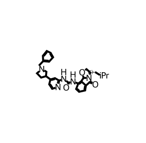 CC(C)C[C@H]1COC2c3c(NC(=O)Nc4cc(C5CCN(Cc6ccccc6)C5)ccn4)cccc3C(=O)N21